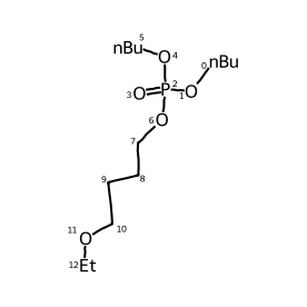 CCCCOP(=O)(OCCCC)OCCCCOCC